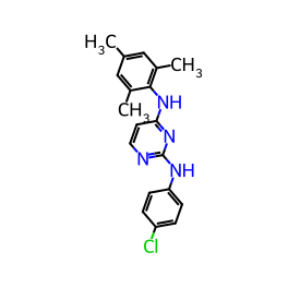 Cc1cc(C)c(Nc2ccnc(Nc3ccc(Cl)cc3)n2)c(C)c1